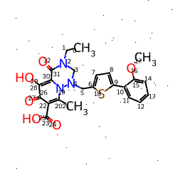 CCN1CN(Cc2ccc(-c3ccccc3OC)s2)n2c(C)c(C(=O)O)c(=O)c(O)c2C1=O